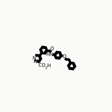 O=C(Nc1ccc(OCCc2ccccc2)cc1)c1cccc(-c2cnnc(C(=O)O)c2)c1